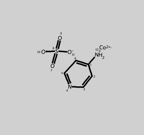 Nc1ccncc1.O=S(=O)([O-])[O-].[Co+2]